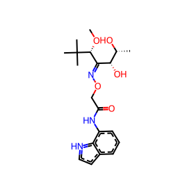 CO[C@H](/C(=N/OCC(=O)Nc1cccc2cc[nH]c12)[C@@H](O)[C@@H](C)O)C(C)(C)C